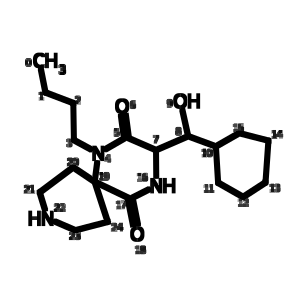 CCCCN1C(=O)C(C(O)C2CCCCC2)NC(=O)C12CCNCC2